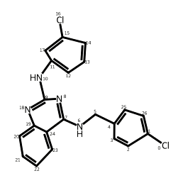 Clc1ccc(CNc2nc(Nc3cccc(Cl)c3)nc3ccccc23)cc1